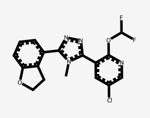 Cn1c(-c2cc(Cl)cnc2OC(F)F)nnc1-c1cccc2c1CCO2